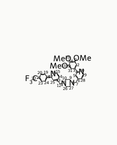 COc1cc(-c2cc(CN3CCN(Cc4ccnc(-c5ccc(C(F)(F)F)cc5)c4)CC3)ccn2)cc(OC)c1OC